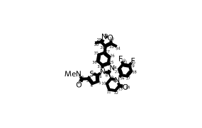 CNC(=O)c1ccc(-n2c([C@@H]3CCCC(=O)N3c3ccc(F)c(F)c3)nc3cc(-c4c(C)noc4C)ccc32)s1